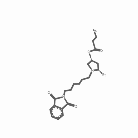 CC[C@@H]1C[C@H](OC(=O)CCC(C)=O)CN1CCCCCCN1C(=O)c2ccccc2C1=O